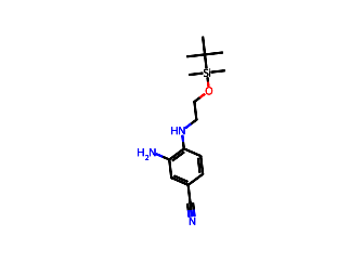 CC(C)(C)[Si](C)(C)OCCNc1ccc(C#N)cc1N